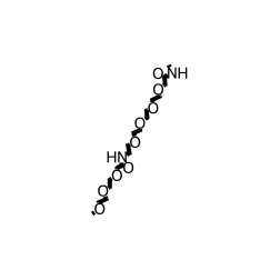 CNC(=O)COCCOCCOCCOCCNC(=O)COCCOCCOC